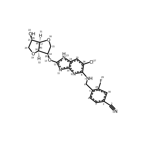 N#Cc1ccc(CNc2nc3nc(O[C@@H]4CO[C@H]5[C@@H]4OC[C@H]5O)[nH]c3cc2Cl)c(F)c1